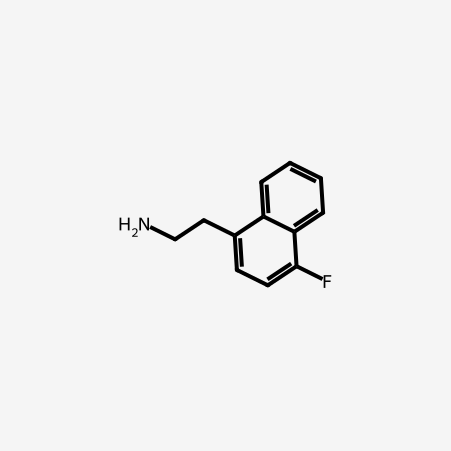 NCCc1ccc(F)c2ccccc12